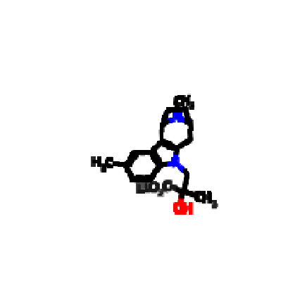 CCOC(=O)C(C)(O)Cn1c2c(c3cc(C)ccc31)C1CCC(C2)N1C